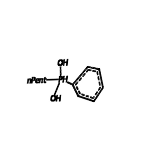 CCCCC[PH](O)(O)c1ccccc1